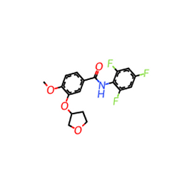 COc1ccc(C(=O)Nc2c(F)cc(F)cc2F)cc1OC1CCOC1